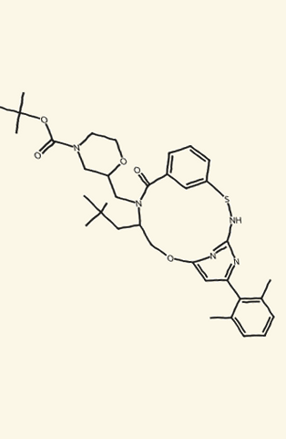 Cc1cccc(C)c1-c1cc2nc(n1)NSc1cccc(c1)C(=O)N(CC1CN(C(=O)OC(C)(C)C)CCO1)C(CC(C)(C)C)CO2